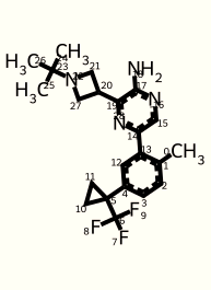 Cc1ccc(C2(C(F)(F)F)CC2)cc1-c1cnc(N)c(C2CN(C(C)(C)C)C2)n1